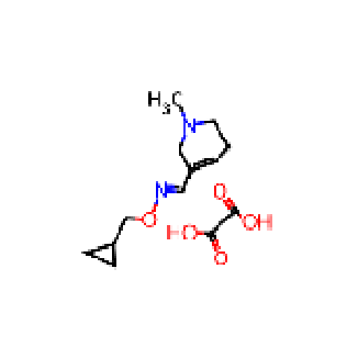 CN1CCC=C(C=NOCC2CC2)C1.O=C(O)C(=O)O